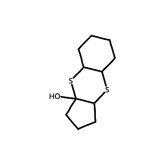 OC12CCCC1SC1CCCCC1S2